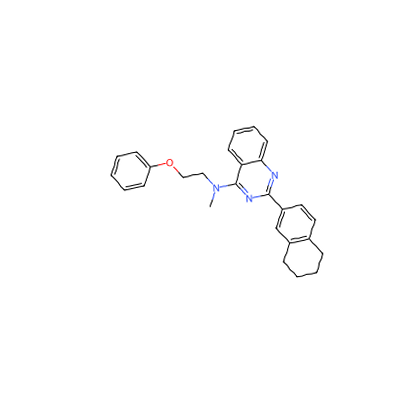 CN(CCOc1ccccc1)c1nc(-c2ccc3c(c2)CCCC3)nc2ccccc12